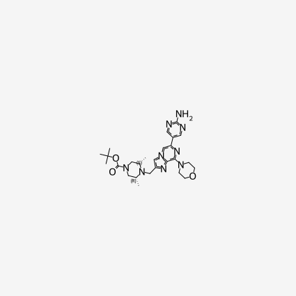 C[C@@H]1CN(C(=O)OC(C)(C)C)C[C@H](C)N1Cc1cn2cc(-c3cnc(N)nc3)nc(N3CCOCC3)c2n1